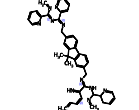 C=C/C=C\C(=N)/C(=N/Cc1ccc2c(c1)C(C)(C)c1cc(C/N=C(\N=C(/N=C)c3ccccn3)c3ccccn3)ccc1-2)NC(N=C)C1CC=CC=N1